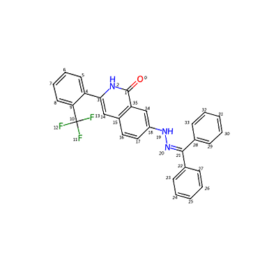 O=c1[nH]c(-c2ccccc2C(F)(F)F)cc2ccc(NN=C(c3ccccc3)c3ccccc3)cc12